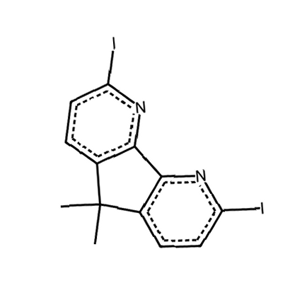 CC1(C)c2ccc(I)nc2-c2nc(I)ccc21